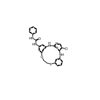 O=C(Nc1ccccc1)Nc1cc2cc(c1)OCCSc1cccc(c1)Nc1nc(ncc1Cl)N2